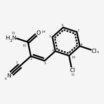 N#CC(=Cc1cccc(Cl)c1Cl)C(N)=O